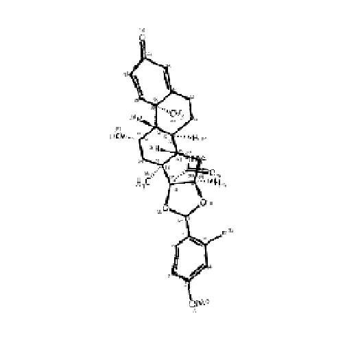 COc1ccc([C@@H]2O[C@@H]3C[C@H]4[C@@H]5CCC6=CC(=O)C=C[C@]6(C)[C@H]5[C@@H](O)C[C@]4(C)[C@]3(C(=O)SC)O2)c(F)c1